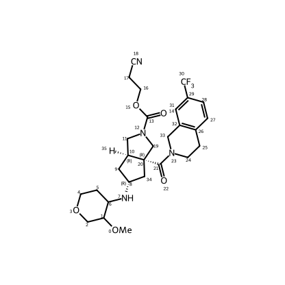 COC1COCCC1N[C@@H]1C[C@H]2CN(C(=O)OCCC#N)C[C@@]2(C(=O)N2CCc3ccc(C(F)(F)F)cc3C2)C1